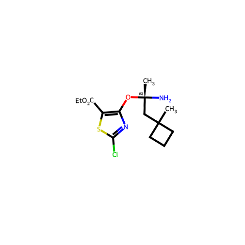 CCOC(=O)c1sc(Cl)nc1O[C@](C)(N)CC1(C)CCC1